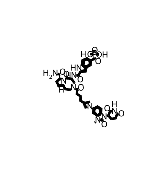 Cn1c(=O)n(C2CCC(=O)NC2=O)c2ccc(N3CC(CCCC(=O)N4CC[C@H]5CC[C@@H](C(N)=O)N5C(=O)[C@@H](NC(=O)c5cc6cc(C(=O)P(=O)(O)O)ccc6[nH]5)C4)C3)cc21